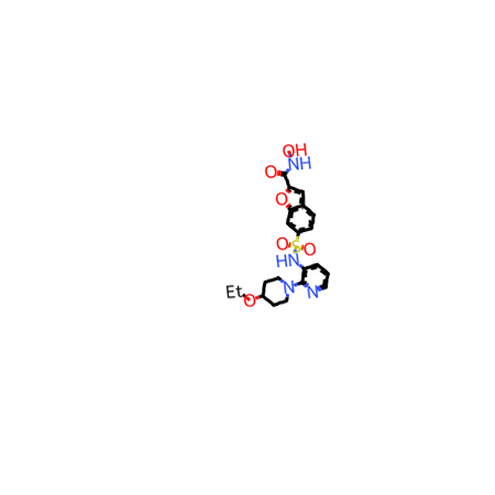 CCOC1CCN(c2ncccc2NS(=O)(=O)c2ccc3cc(C(=O)NO)oc3c2)CC1